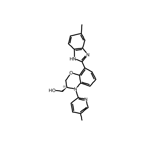 Cc1ccc(N2c3cccc(-c4nc5cc(C)ccc5[nH]4)c3OC[C@@H]2CO)nc1